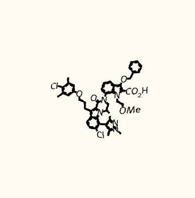 COCCn1c(C(=O)O)c(OCc2ccccc2)c2cccc(N3CC(C)n4c(c(CCCOc5cc(C)c(Cl)c(C)c5)c5ccc(Cl)c(-c6c(C)nn(C)c6C)c54)C3=O)c21